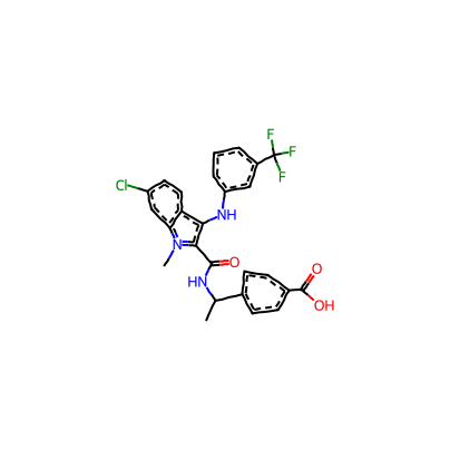 CC(NC(=O)c1c(Nc2cccc(C(F)(F)F)c2)c2ccc(Cl)cc2n1C)c1ccc(C(=O)O)cc1